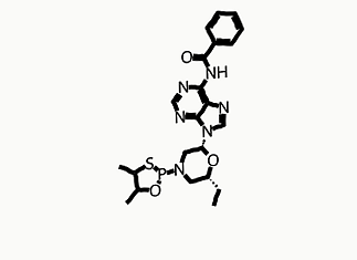 CC[C@@H]1CN(P2OC(C)C(C)S2)C[C@H](n2cnc3c(NC(=O)c4ccccc4)ncnc32)O1